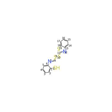 Sc1ccccc1/N=C/SSc1nc2ccccc2s1